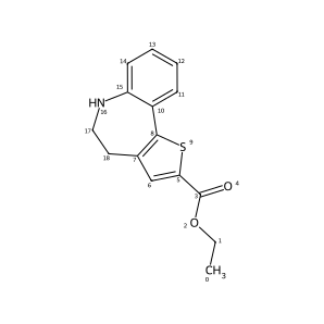 CCOC(=O)c1cc2c(s1)-c1ccccc1NCC2